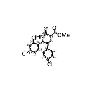 COC(=O)c1cc(-c2ccc(Cl)cc2)c(-c2ccc(Cl)cc2Cl)[nH]c1=O